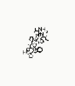 CC[C@H](C)[C@@H]([C@@H](CC(=O)N1CCC[C@H]1[C@H](OC)[C@@H](C)C(=O)N[C@@H](CC1=CCCC=C1)C(O)OC)OC)N(C)C(=O)[C@@H](N)C(C)C